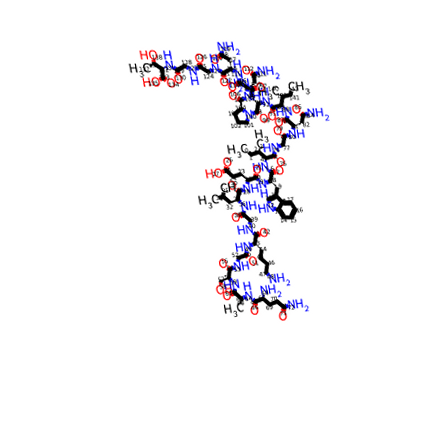 CC[C@H](C)[C@H](NC(=O)[C@H](Cc1c[nH]c2ccccc12)NC(=O)[C@H](CCC(=O)O)NC(=O)[C@H](CC(C)C)NC(=O)CNC(=O)[C@H](CCCCN)NC(=O)CNC(=O)[C@H](CO)NC(=O)[C@H](C)NC(=O)[C@@H](N)CCC(N)=O)C(=O)NCC(=O)N[C@@H](CC(N)=O)C(=O)N[C@H](C(=O)N[C@@H](CC(N)=O)C(=O)N1CCC[C@H]1C(=O)N[C@@H](CC(N)=O)C(=O)N[C@@H](CC(N)=O)C(=O)NCC(=O)NCC(=O)N[C@H](C(=O)O)[C@@H](C)O)[C@@H](C)CC